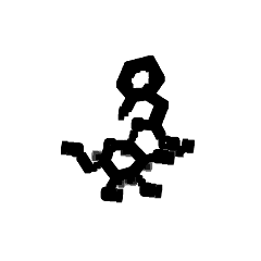 O=C(O)C(=Cc1ccccc1F)O[C@H]1O[C@@H](CO)[C@H](O)[C@@H](O)[C@@H]1O